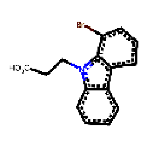 O=C(O)CCn1c2ccccc2c2cccc(Br)c21